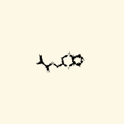 C=C(C)C(=O)OCC1COc2cscc2O1